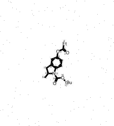 CCC(=O)Oc1ccc2c(c1)CC(C)N2C(=O)OC(C)(C)C